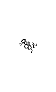 C=C(C(=O)OC)[C@H]1C[C@H]2c3[nH]c4cccc(OC)c4c3CCN2C[C@@H]1CC